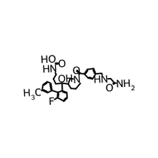 Cc1cccc(-c2c(F)cccc2C(O)(CCCNC(=O)O)C2CCCN(C(=O)c3ccc(CNCC(N)=O)cc3)C2)c1